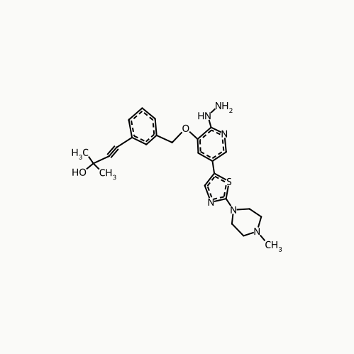 CN1CCN(c2ncc(-c3cnc(NN)c(OCc4cccc(C#CC(C)(C)O)c4)c3)s2)CC1